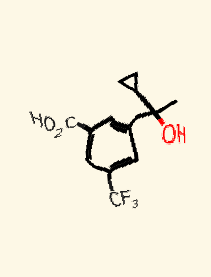 CC(O)(c1cc(C(=O)O)cc(C(F)(F)F)c1)C1CC1